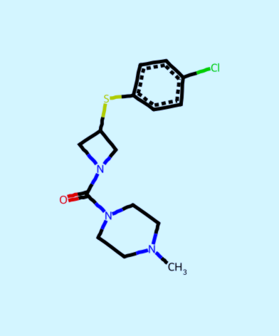 CN1CCN(C(=O)N2CC(Sc3ccc(Cl)cc3)C2)CC1